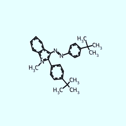 Cn1c(-c2ccc(C(C)(C)C)cc2)c(N=Nc2ccc(C(C)(C)C)cc2)c2ccccc21